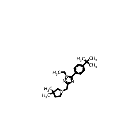 CCn1nc(CN2CCC(C)(C)C2)nc1-c1ccc(C(C)(C)C)cc1